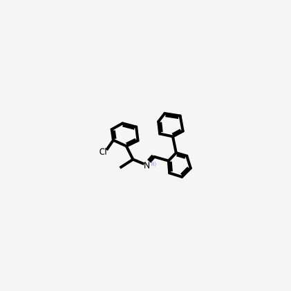 CC(/N=C/c1ccccc1-c1ccccc1)c1ccccc1Cl